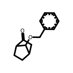 O=C1CC2CCC1C2OCc1ccccc1